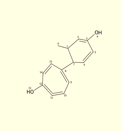 CC1C=C(O)C=CC1C1=CC=C=C(O)C=C1